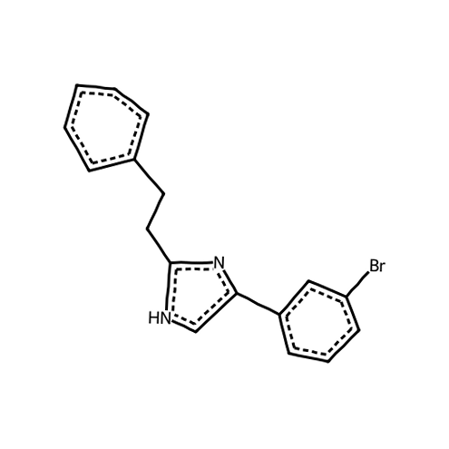 Brc1cccc(-c2c[nH]c(CCc3ccccc3)n2)c1